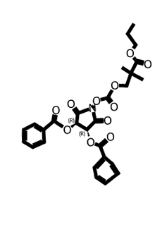 CCCOC(=O)C(C)(C)COC(=O)ON1C(=O)[C@H](OC(=O)c2ccccc2)[C@@H](OC(=O)c2ccccc2)C1=O